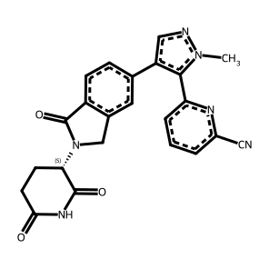 Cn1ncc(-c2ccc3c(c2)CN([C@H]2CCC(=O)NC2=O)C3=O)c1-c1cccc(C#N)n1